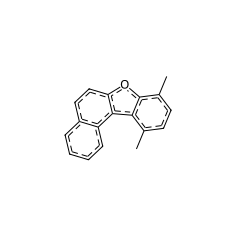 Cc1ccc(C)c2c1oc1ccc3ccccc3c12